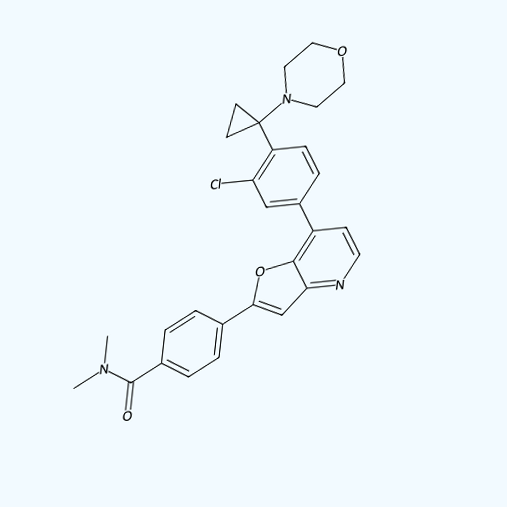 CN(C)C(=O)c1ccc(-c2cc3nccc(-c4ccc(C5(N6CCOCC6)CC5)c(Cl)c4)c3o2)cc1